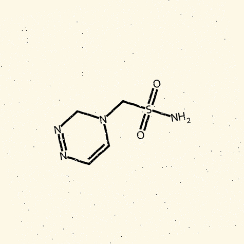 NS(=O)(=O)CN1C=CN=NC1